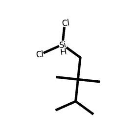 CC(C)C(C)(C)C[SiH](Cl)Cl